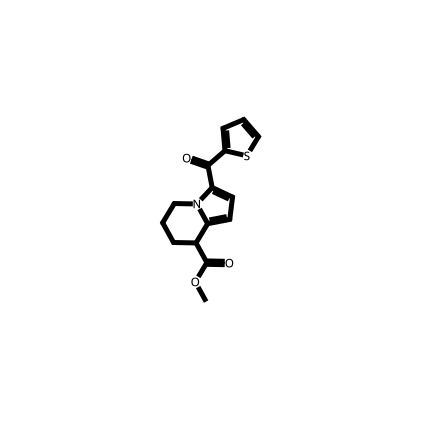 COC(=O)C1CCCn2c(C(=O)c3cccs3)ccc21